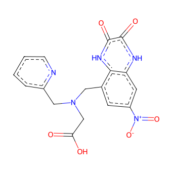 O=C(O)CN(Cc1ccccn1)Cc1cc([N+](=O)[O-])cc2[nH]c(=O)c(=O)[nH]c12